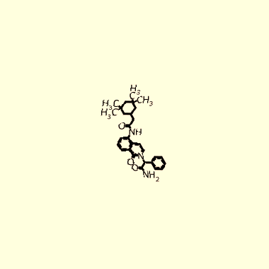 CC1(C)CC(CC(=O)Nc2cccc3c(=O)n(C(C(N)=O)c4ccccc4)ccc23)CC(C)(C)C1